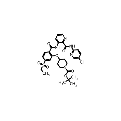 CCS(=O)(=O)c1ccc(C(=O)Nc2cccnc2C(=O)Nc2ccc(Cl)cn2)c(OC2CCN(C(=O)OC(C)(C)C)CC2)c1